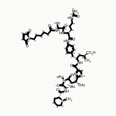 CCCN(C(=O)[C@@H](NC(=O)[C@H]1CCCCN1C)[C@@H](C)CC)C(C[C@@H](OC(C)=O)c1nc(C(=O)N[C@H](Cc2ccc(NC(=O)[C@H](CCCNC(N)=O)NC(=O)C(NC(=O)CCCCCN3C(=O)C=CC3=O)C(C)C)cc2)C[C@H](C)C(=O)O)cs1)C(C)C